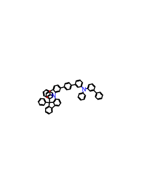 c1ccc(-c2cccc(N(c3ccccc3)c3cccc(-c4ccc(-c5ccc6c7ccccc7n(-c7cccc8c7C(c7ccccc7)(c7ccccc7)c7ccccc7-8)c6c5)cc4)c3)c2)cc1